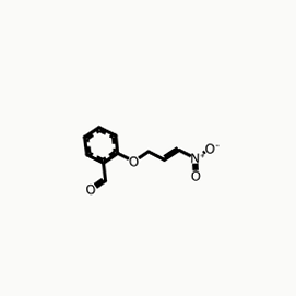 O=Cc1ccccc1OCC=C[N+](=O)[O-]